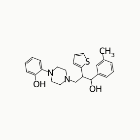 Cc1cccc(C(O)C(CN2CCN(c3ccccc3O)CC2)c2cccs2)c1